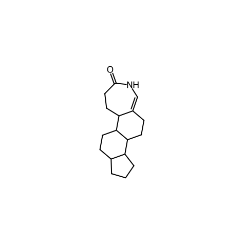 O=C1CCC2C(=CN1)CCC1C3CCCC3CCC21